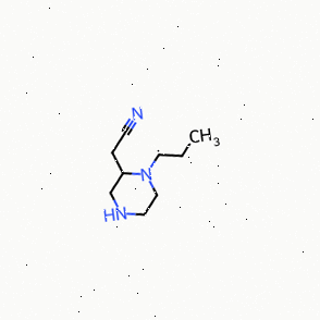 CC[CH]N1CCNCC1CC#N